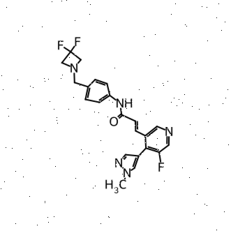 Cn1cc(-c2c(F)cncc2C=CC(=O)Nc2ccc(CN3CC(F)(F)C3)cc2)cn1